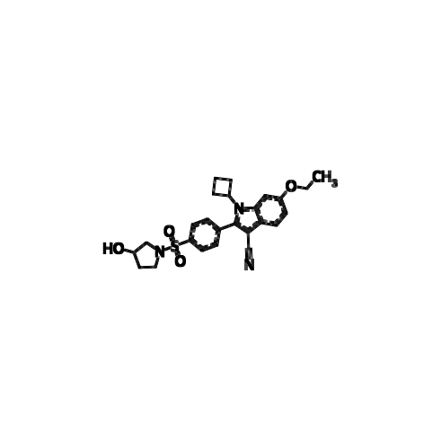 CCOc1ccc2c(C#N)c(-c3ccc(S(=O)(=O)N4CCC(O)C4)cc3)n(C3CCC3)c2c1